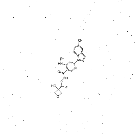 CC(C)Nc1cc(-n2ncc3cc(C#N)cnc32)ncc1C(=O)NCC(F)C1(O)COC1